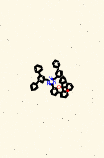 c1ccc(-c2cccc(-c3nc(-c4cc(-c5ccccc5)cc(-c5ccccc5)c4)nc(-c4cccc5c4OC(c4ccccc4)(c4ccccc4)c4ccccc4-5)n3)c2)cc1